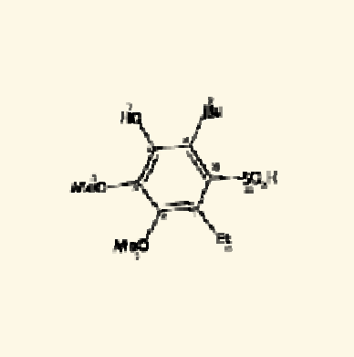 CCc1c(OC)c(OC)c(O)c(C(C)CC)c1S(=O)(=O)O